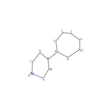 C1CCCC(C2CC[N]CC2)CC1